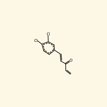 C=CC(=O)C=Cc1ccc(Cl)c(Cl)c1